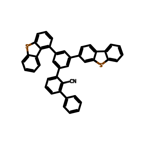 N#Cc1c(-c2ccccc2)cccc1-c1cc(-c2ccc3c(c2)sc2ccccc23)cc(-c2cccc3sc4ccccc4c23)c1